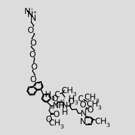 COC(=O)C[C@H](NC(=O)[C@H](CC(C)C)NC(=O)CCCN(C(=O)OC(C)(C)C)c1cc(C)ccn1)c1ccc(-c2ccc(OCCOCCOCCOCCOCCN=[N+]=[N-])c3ccccc23)cc1